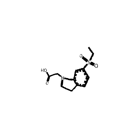 CCS(=O)(=O)c1ccc2c(c1)N(CC(=O)O)CC2